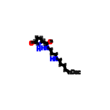 CCCCCCCCCCCCCCNCCCNC(=O)C1CCC(=O)N1